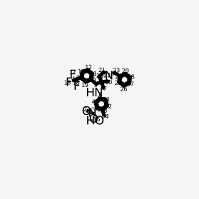 O=[N+]([O-])c1cc(NCC2(Cc3cccc(C(F)(F)F)c3)CCN(Cc3ccccc3)C2)ccc1CO